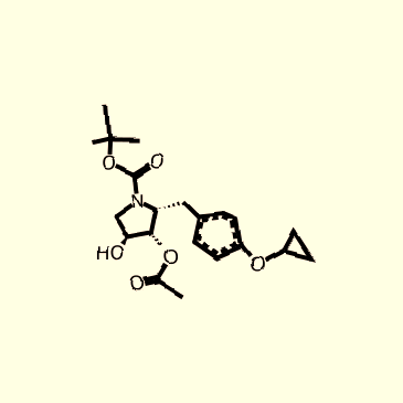 CC(=O)O[C@H]1[C@@H](Cc2ccc(OC3CC3)cc2)N(C(=O)OC(C)(C)C)C[C@@H]1O